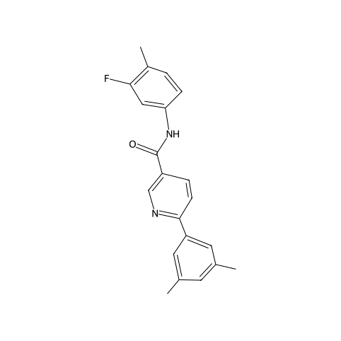 Cc1cc(C)cc(-c2ccc(C(=O)Nc3ccc(C)c(F)c3)cn2)c1